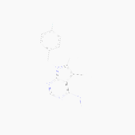 CNc1ncnc2c1c(C)c(C)n2Cc1ccc(F)cc1